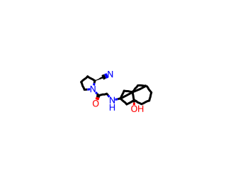 N#C[C@@H]1CCCN1C(=O)CNC12CC3CC1CCCC3(O)C2